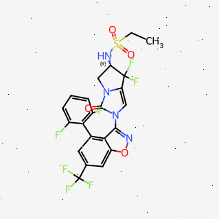 CCS(=O)(=O)N[C@@H]1Cn2c(cn(-c3noc4cc(C(F)(F)F)cc(-c5c(F)cccc5F)c34)c2=O)C1(F)F